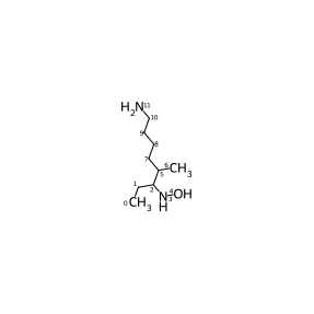 CCC(NO)C(C)CCCCN